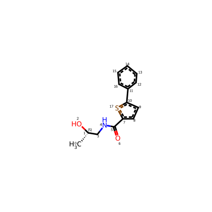 C[C@H](O)CNC(=O)c1ccc(-c2ccccc2)s1